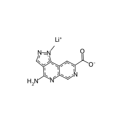 Cn1ncc2c(N)nc3cnc(C(=O)[O-])cc3c21.[Li+]